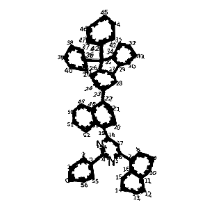 c1ccc(-c2nc(-c3cccc4ccccc34)cc(-c3ccc(-c4ccc5c(c4)-c4ccccc4C5(c4ccccc4)c4ccccc4)c4ccccc34)n2)cc1